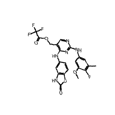 COc1cc(Nc2ncc(COC(=O)C(F)(F)F)c(Nc3ccc4oc(=O)[nH]c4c3)n2)cc(C)c1F